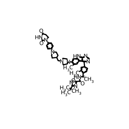 Cc1cc(-c2ncnc3[nH]c4cc(N5CCN(CC6CCN(c7ccc(N8CCC(=O)NC8=O)cc7)CC6)CC5)c(C)cc4c23)ccc1[C@@H](C)NC(=O)c1nc(C(C)(C)C)no1